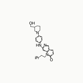 CC(C)CCn1c(=O)ccc2cnc(Nc3ccc(N4CCCC(CO)C4)cc3)cc21